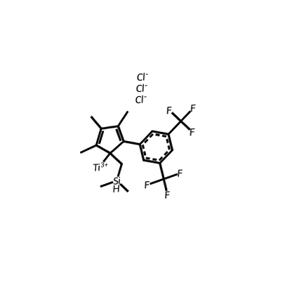 CC1=C(C)[C]([Ti+3])(C[SiH](C)C)C(c2cc(C(F)(F)F)cc(C(F)(F)F)c2)=C1C.[Cl-].[Cl-].[Cl-]